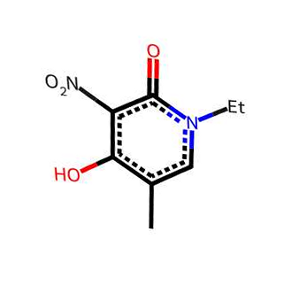 CCn1cc(C)c(O)c([N+](=O)[O-])c1=O